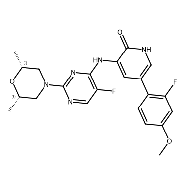 COc1ccc(-c2c[nH]c(=O)c(Nc3nc(N4C[C@@H](C)O[C@@H](C)C4)ncc3F)c2)c(F)c1